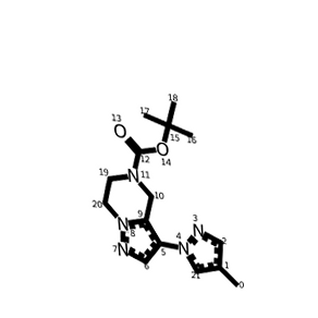 Cc1cnn(-c2cnn3c2CN(C(=O)OC(C)(C)C)CC3)c1